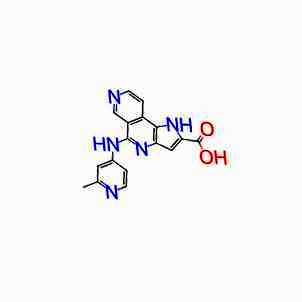 Cc1cc(Nc2nc3cc(C(=O)O)[nH]c3c3ccncc23)ccn1